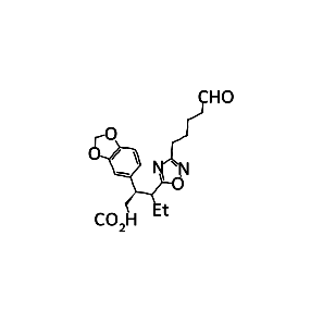 CCC(c1nc(CCCCC=O)no1)[C@@H](CC(=O)O)c1ccc2c(c1)OCO2